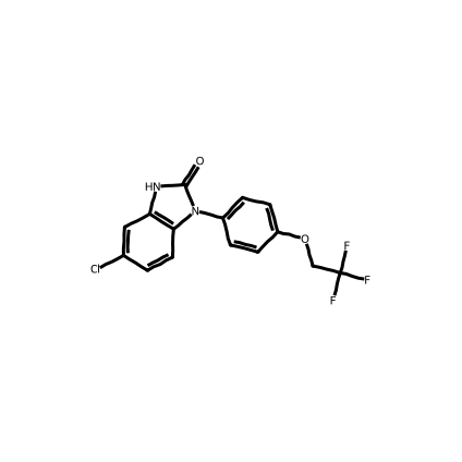 O=c1[nH]c2cc(Cl)ccc2n1-c1ccc(OCC(F)(F)F)cc1